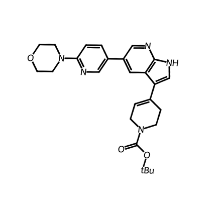 CC(C)(C)OC(=O)N1CC=C(c2c[nH]c3ncc(-c4ccc(N5CCOCC5)nc4)cc23)CC1